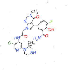 C[C@H]1CNCCN1c1cc(NC(=O)Cn2cc(C3C#CC(F)=C(O)C(C(N)=O)=C3)c3c(=O)n(C)cnc32)c(Cl)cn1